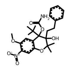 COc1cc2c(cc1[N+](=O)[O-])OC(C)(C)C(O)(CCc1ccccc1)C2(OC(N)=O)C(C)(C)C